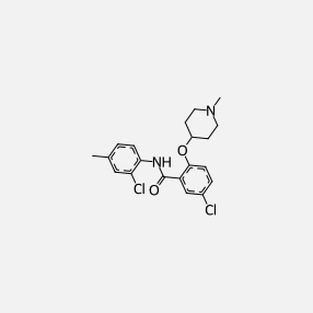 Cc1ccc(NC(=O)c2cc(Cl)ccc2OC2CCN(C)CC2)c(Cl)c1